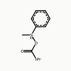 CC[CH]C(=O)O[SiH](C)c1ccccc1